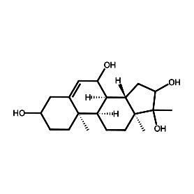 CC1(O)C(O)C[C@H]2[C@@H]3C(O)C=C4CC(O)CC[C@]4(C)[C@@H]3CC[C@@]21C